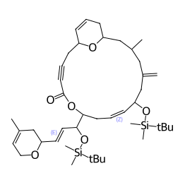 C=C1CC(C)CC2CC=CC(CC#CC(=O)OC(C(/C=C/C3CC(C)=CCO3)O[Si](C)(C)C(C)(C)C)C/C=C\C(O[Si](C)(C)C(C)(C)C)C1)O2